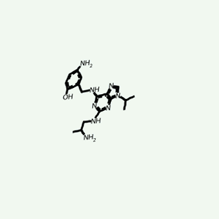 CC(N)CNc1nc(NCc2cc(N)ccc2O)c2ncn(C(C)C)c2n1